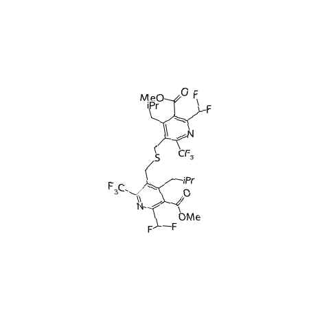 COC(=O)c1c(C(F)F)nc(C(F)(F)F)c(CSCc2c(C(F)(F)F)nc(C(F)F)c(C(=O)OC)c2CC(C)C)c1CC(C)C